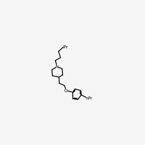 CCCc1ccc(OCCC2CCN(CCCC(C)C)CC2)cc1